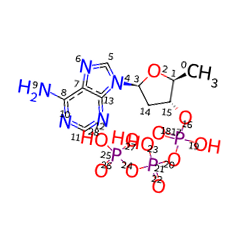 C[C@@H]1O[C@H](n2cnc3c(N)ncnc32)C[C@H]1OP(=O)(O)OP(=O)(O)OP(=O)(O)O